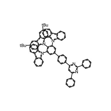 CC(C)(C)c1ccc2c(c1)c1cc(C(C)(C)C)ccc1n2-c1c(-n2c3ccccc3c3ccccc32)cc(-c2ccc(-c3cc(-c4ccccc4)nc(-c4ccccc4)n3)cc2)cc1-n1c2ccccc2c2ccccc21